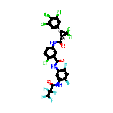 O=C(Nc1cc(NC(=O)C(F)(F)C(F)F)c(F)cc1F)c1cc(NC(=O)[C@H]2[C@H](c3cc(Cl)c(Cl)c(Cl)c3)C2(Cl)Cl)ccc1Cl